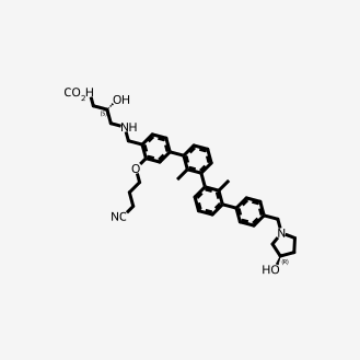 Cc1c(-c2ccc(CN3CC[C@@H](O)C3)cc2)cccc1-c1cccc(-c2ccc(CNC[C@@H](O)CC(=O)O)c(OCCCC#N)c2)c1C